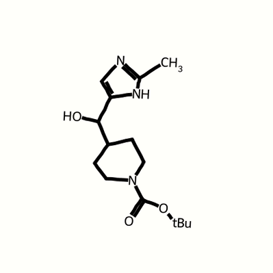 Cc1ncc(C(O)C2CCN(C(=O)OC(C)(C)C)CC2)[nH]1